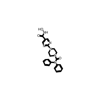 O=C(NO)c1cnc(N2CCN(C(=O)N(c3ccccc3)c3ccccc3)CC2)nc1